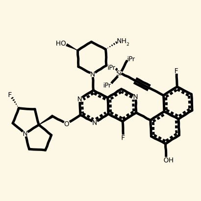 CC(C)[Si](C#Cc1c(F)ccc2cc(O)cc(-c3ncc4c(N5C[C@@H](N)C[C@H](O)C5)nc(OC[C@@]56CCCN5C[C@H](F)C6)nc4c3F)c12)(C(C)C)C(C)C